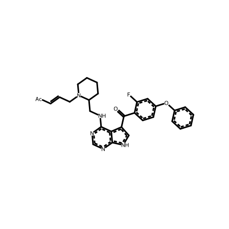 CC(=O)/C=C/CN1CCCCC1CNc1ncnc2[nH]cc(C(=O)c3ccc(Oc4ccccc4)cc3F)c12